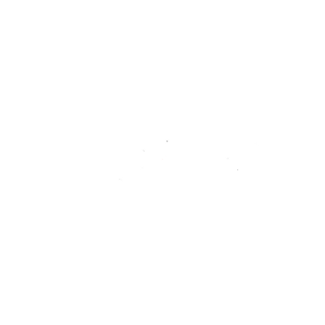 CC(C)(C)[Si](OCC[C@H]1CC[C@@H]2O[C@@H](CCCO)C[C@]2(CO)O1)(c1ccccc1)c1ccccc1